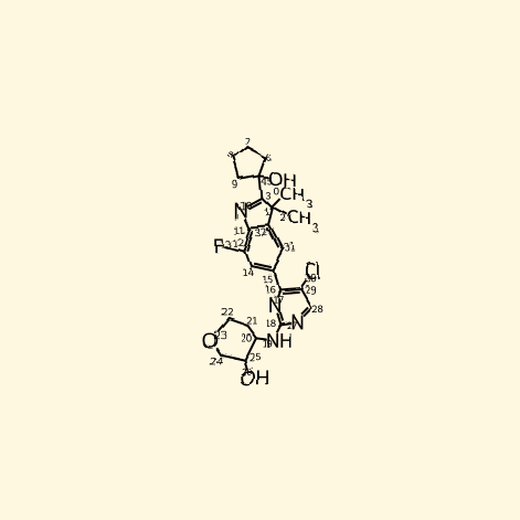 CC1(C)C(C2(O)CCCC2)=Nc2c(F)cc(-c3nc(NC4CCOCC4O)ncc3Cl)cc21